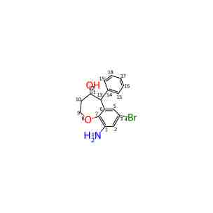 Nc1cc(Br)cc2c1OCCC(O)C2c1ccccc1